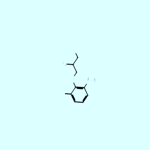 CCC(N)COc1c(C)cccc1C.Cl